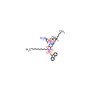 CCCCCCCCCCCCC(C(=O)[C@H](CCCCN)NC(=O)OC(C)(C)C)C(=O)N(CCCCCCCCCCCC)C(=O)OCC1c2ccccc2-c2ccccc21